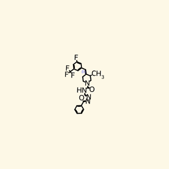 CC1CN(C(=O)Nc2nnc(-c3ccccc3)o2)CC/C1=C\c1cc(F)cc(C(F)(F)F)c1